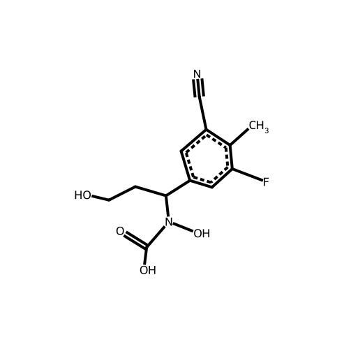 Cc1c(F)cc(C(CCO)N(O)C(=O)O)cc1C#N